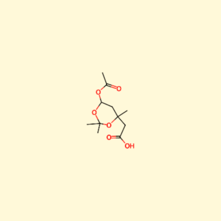 CC(=O)OC1CC(C)(CC(=O)O)OC(C)(C)O1